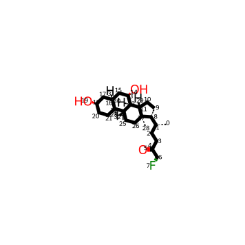 C[C@H](CCC(=O)CF)[C@H]1CC[C@H]2[C@@H]3[C@H](O)C[C@@H]4C[C@H](O)CC[C@]4(C)[C@H]3CC[C@]12C